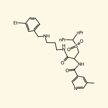 CCCC(CCC)S(=O)(=O)CC(NC(=O)c1cncc(C)c1)C(=O)NCCCNCc1cccc(CC)c1